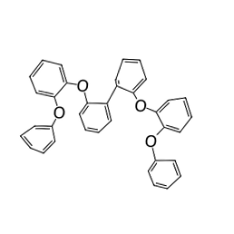 c1ccc(Oc2ccccc2Oc2ccccc2-c2ccccc2Oc2ccccc2Oc2ccccc2)cc1